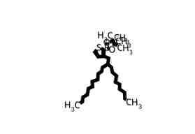 CCCCCCCCCCCC(CCCCCCCCC)Cc1ccsc1B1OC(C)(C)C(C)(C)O1